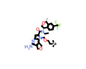 CCN(C(=O)c1cc2nc(N)c3c(c2n1COCC[Si](C)(C)C)COC3)[C@@H]1CO[C@H](C)c2cc(C(F)(F)F)ccc21